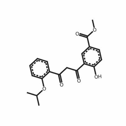 COC(=O)c1ccc(O)c(C(=O)CC(=O)c2ccccc2OC(C)C)c1